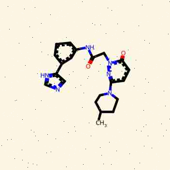 CC1CCN(c2ccc(=O)n(CC(=O)Nc3cccc(-c4cnc[nH]4)c3)n2)CC1